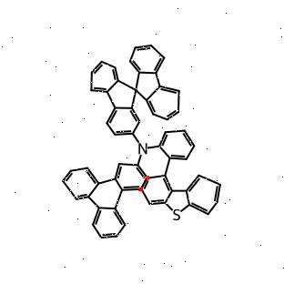 c1ccc(N(c2ccc3c(c2)C2(c4ccccc4-c4ccccc42)c2ccccc2-3)c2ccc3c4ccccc4c4ccccc4c3c2)c(-c2cccc3sc4ccccc4c23)c1